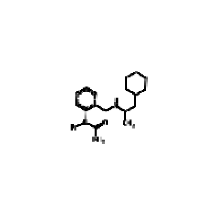 CC(CC1CCCCC1)NCc1ccccc1N(C(N)=O)C(C)C